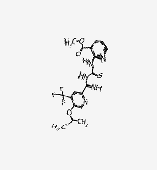 COC(=O)c1cccnc1NC(=S)NC(=N)c1cc(C(F)(F)F)c(OC(C)C)cn1